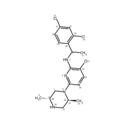 CC(Nc1nc(N2C[C@@H](C)NC[C@@H]2C)ncc1Cl)c1ccc(Cl)cc1Cl